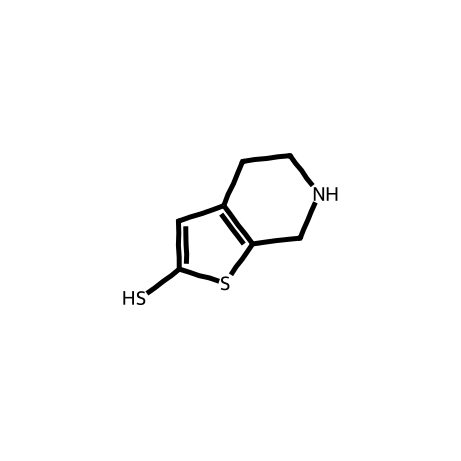 Sc1cc2c(s1)CNCC2